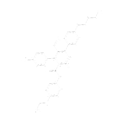 C=Cc1c(-c2ccc(CCCCC)cc2)[nH]c(=O)c(C(=O)Nc2ccc(OCC)cc2)c1-c1ccc(C)cc1